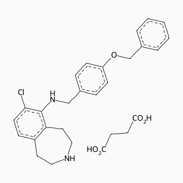 Clc1ccc2c(c1NCc1ccc(OCc3ccccc3)cc1)CCNCC2.O=C(O)CCC(=O)O